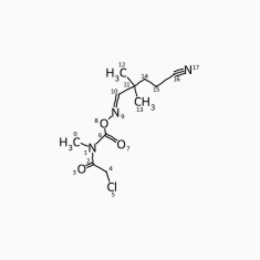 CN(C(=O)CCl)C(=O)ON=CC(C)(C)CCC#N